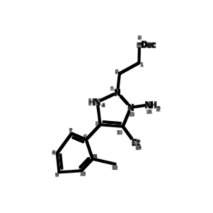 CCCCCCCCCCCCN1NC(c2ccccc2C)=C(CC)N1N